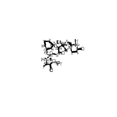 C=C1NC(=O)C=CN1[C@@H]1O[C@H](COP(=S)(NC(C)C(=O)OC(C)C)Oc2ccccc2)[C@@H](O)[C@]1(O)CC